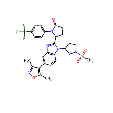 Cc1noc(C)c1-c1ccc2c(c1)nc(C1CCC(=O)N1c1ccc(C(F)(F)F)cc1)n2C1CCN(S(C)(=O)=O)C1